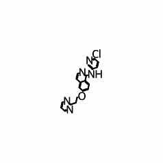 Clc1ccc(Nc2nccc3cc(OCCc4ncccn4)ccc23)cn1